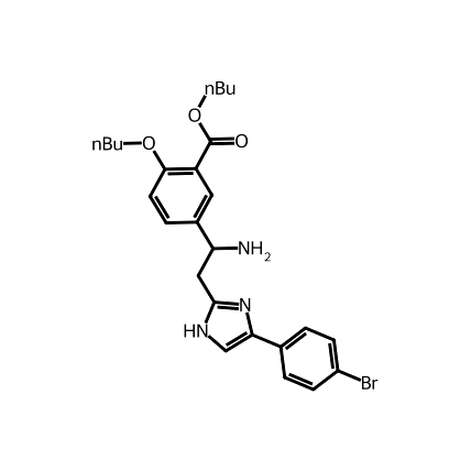 CCCCOC(=O)c1cc(C(N)Cc2nc(-c3ccc(Br)cc3)c[nH]2)ccc1OCCCC